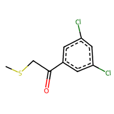 CSCC(=O)c1cc(Cl)cc(Cl)c1